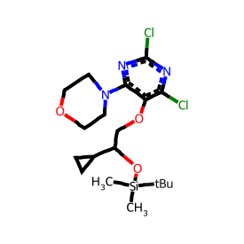 CC(C)(C)[Si](C)(C)OC(COc1c(Cl)nc(Cl)nc1N1CCOCC1)C1CC1